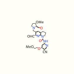 COCCOc1cc(NC(=O)N2CCCc3cc(CN4CC[C@H](OC)C4=C=O)c(C=O)nc32)ncc1C#N